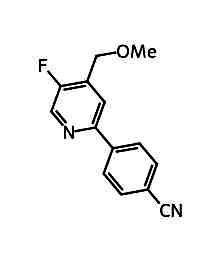 COCc1cc(-c2ccc(C#N)cc2)ncc1F